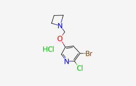 Cl.Clc1ncc(OCN2CCC2)cc1Br